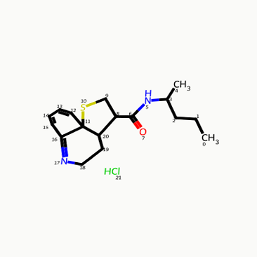 CCCC(C)NC(=O)C1CSC23C=CC=CC2=NCCC13.Cl